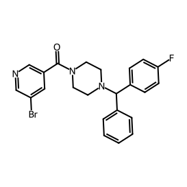 O=C(c1cncc(Br)c1)N1CCN(C(c2ccccc2)c2ccc(F)cc2)CC1